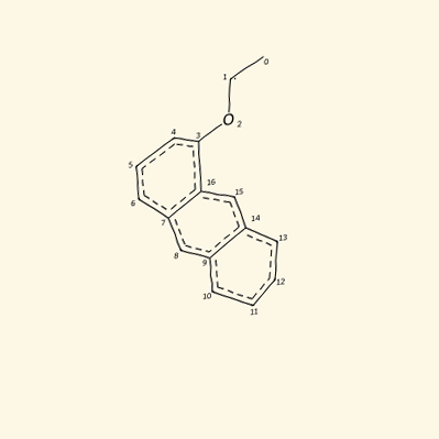 C[CH]Oc1cccc2cc3ccccc3cc12